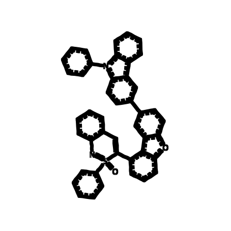 O=S1(c2ccccc2)=Nc2ccccc2C=C1c1cccc2oc3ccc(-c4ccc5c(c4)c4ccccc4n5-c4ccccc4)cc3c12